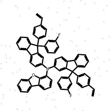 C=Cc1ccc(C2(c3cccc(F)c3)c3ccccc3-c3ccc(N(c4ccc5c(c4)C(c4ccc(C=C)cc4)(c4cccc(F)c4)c4ccccc4-5)c4cccc5c4oc4ccccc45)cc32)cc1